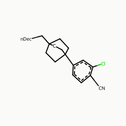 CCCCCCCCCCCC12CCC(c3ccc(C#N)c(Cl)c3)(CC1)CC2